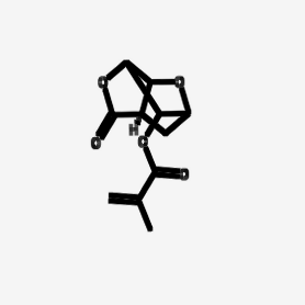 C=C(C)C(=O)OC1C2C[C@H]3C(=O)OC1C3O2